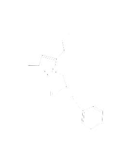 CCCc1cc(C)nn1CC(O)COc1ccccc1